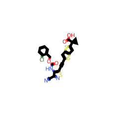 N#Cc1nsc(C#Cc2cc3sc(C4(C(=O)O)CC4)cc3s2)c1NC(=O)OCc1ccccc1Cl